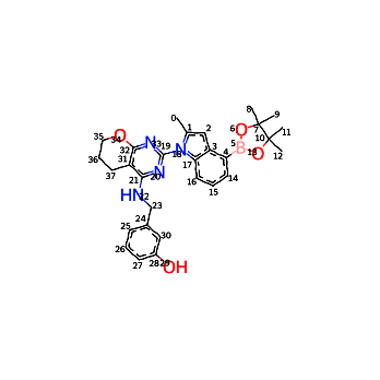 Cc1cc2c(B3OC(C)(C)C(C)(C)O3)cccc2n1-c1nc(NCc2cccc(O)c2)c2c(n1)OCCC2